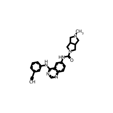 C#Cc1cccc(Nc2ncnc3ccc(NC(=O)N4CC5CN(C)CC5C4)cc23)c1